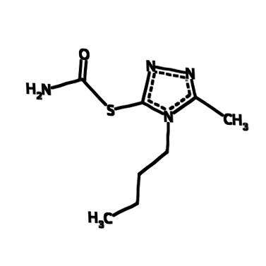 CCCCn1c(C)nnc1SC(N)=O